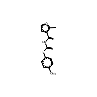 COc1ccc(NC(=S)NC(=O)c2ccoc2C)cc1